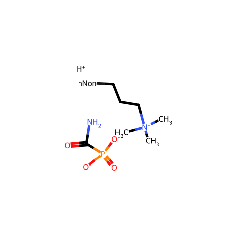 CCCCCCCCCCCC[N+](C)(C)C.NC(=O)P(=O)([O-])[O-].[H+]